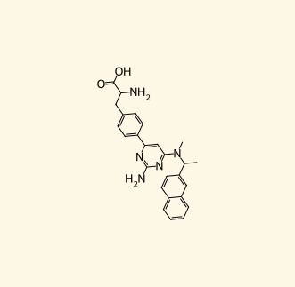 CC(c1ccc2ccccc2c1)N(C)c1cc(-c2ccc(CC(N)C(=O)O)cc2)nc(N)n1